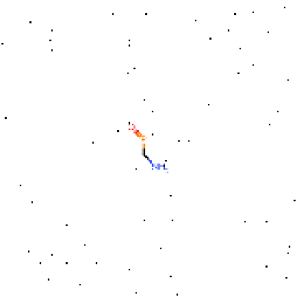 NCP=O